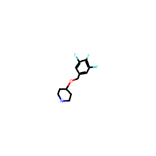 Fc1cc(COC2CC[N]CC2)cc(F)c1F